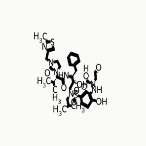 Cc1nc(CN2CCN([C@H](C(=O)N[C@@H](Cc3ccccc3)[C@H](O)CN(CC(C)C)S(=O)(=O)c3ccc(O)c(NN(CC=O)C(=O)O)c3)C(C)C)C2=O)cs1